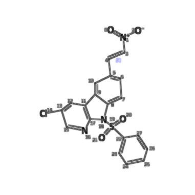 O=[N+]([O-])/C=C/c1ccc2c(c1)c1cc(Cl)cnc1n2S(=O)(=O)c1ccccc1